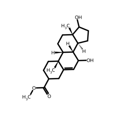 COC(=O)C1CC[C@@]2(C)C(=CC(O)[C@@H]3[C@H]2CC[C@]2(C)C(O)CC[C@@H]32)C1